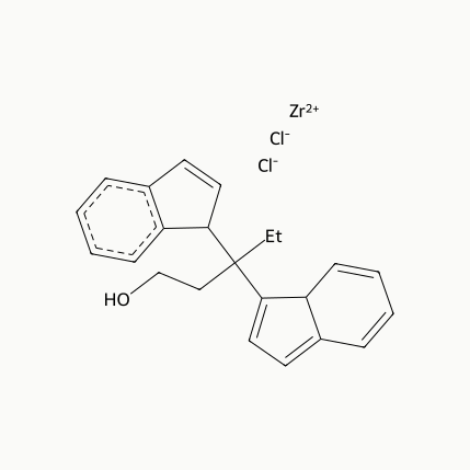 CCC(CCO)(C1=CC=C2C=CC=CC21)C1C=Cc2ccccc21.[Cl-].[Cl-].[Zr+2]